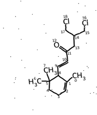 CC1=CCCC(C)(C)C1/C=C/C(=O)CC(CCl)CCl